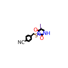 N#Cc1ccc(CSn2c(=O)[nH]cc(I)c2=O)cc1